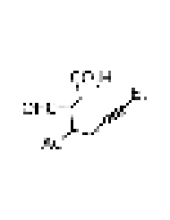 CCC#CCC(C(C)=O)C(C=O)CC(=O)O